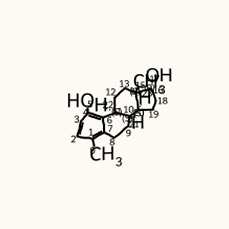 Cc1ccc(O)c2c1CC[C@@H]1[C@@H]2CC[C@]2(C)[C@H](O)CC[C@@H]12